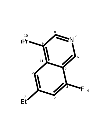 CCc1cc(F)c2cncc(C(C)C)c2c1